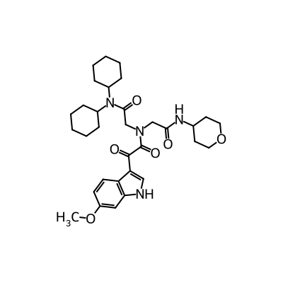 COc1ccc2c(C(=O)C(=O)N(CC(=O)NC3CCOCC3)CC(=O)N(C3CCCCC3)C3CCCCC3)c[nH]c2c1